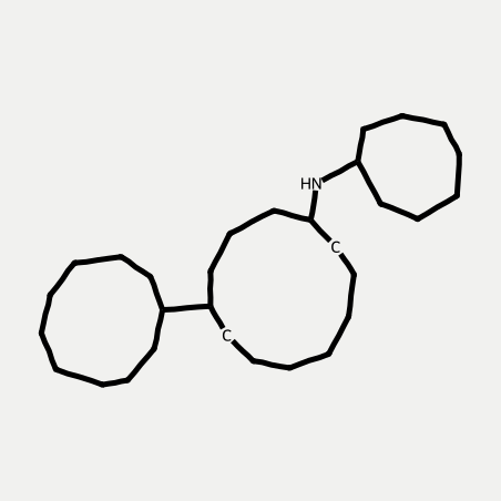 C1CCCCC(C2CCCCCCCC(NC3CCCCCCC3)CCC2)CCCC1